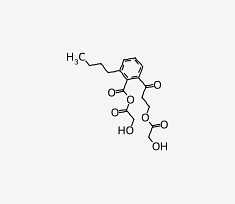 CCCCc1cccc(C(=O)CCOC(=O)CO)c1C(=O)OC(=O)CO